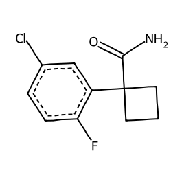 NC(=O)C1(c2cc(Cl)ccc2F)CCC1